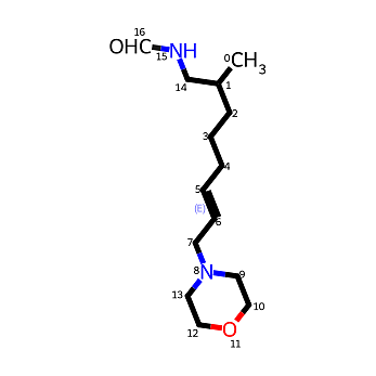 CC(CCC/C=C/CN1CCOCC1)CNC=O